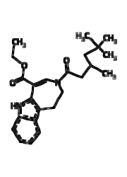 CCOC(=O)C1=CN(C(=O)CC(C)CC(C)(C)C)CCc2c1[nH]c1ccccc21